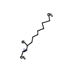 C/C=C/C(Cl)CCCCCCCC